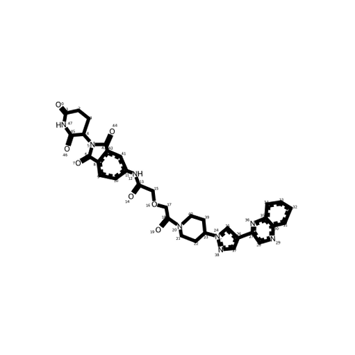 O=C1CCC(N2C(=O)c3ccc(NC(=O)COCC(=O)N4CCC(n5cc(-c6cnc7ccccc7n6)cn5)CC4)cc3C2=O)C(=O)N1